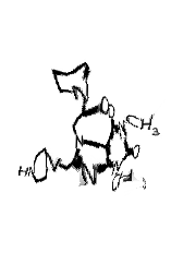 Cn1c(=O)c2c(nc(N3CCNCC3)n2CC(=O)N2CCCC2)n(C)c1=O